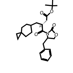 CC(C)(C)OC(=O)C[C@@H](CC1CCC2(CC1)CC2)C(=O)N1C(=O)OCC1Cc1ccccc1